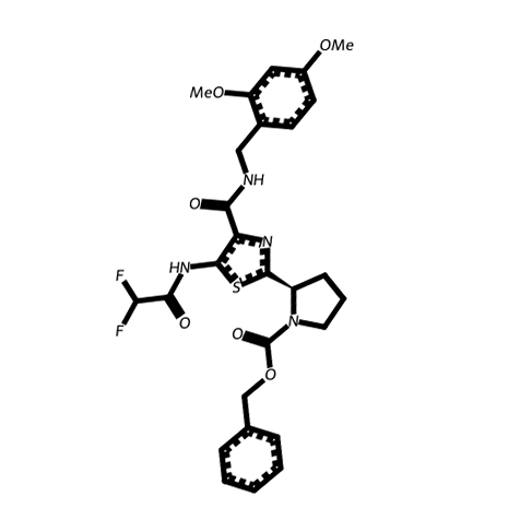 COc1ccc(CNC(=O)c2nc([C@H]3CCCN3C(=O)OCc3ccccc3)sc2NC(=O)C(F)F)c(OC)c1